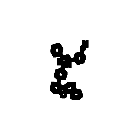 N#Cc1cccc(-c2cc(-c3ccccc3)nc(-c3ccc(-c4cccc5oc6c7ccccc7ccc6c45)cc3)n2)c1